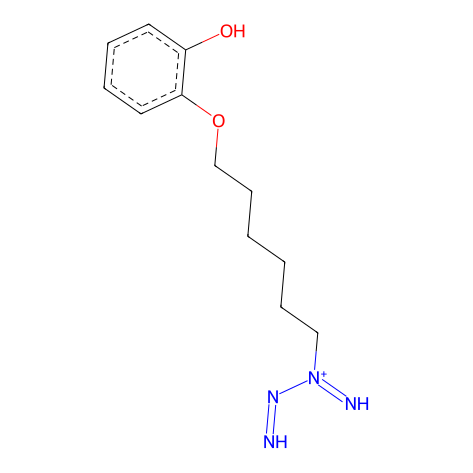 N=N[N+](=N)CCCCCCOc1ccccc1O